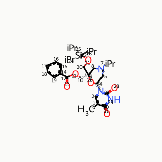 Cc1cn([C@H]2CN(C(C)C)C[C@](COC(=O)c3ccccc3)(CO[Si](C(C)C)(C(C)C)C(C)C)O2)c(=O)[nH]c1=O